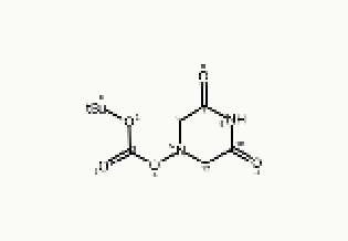 CC(C)(C)OC(=O)ON1CC(=O)NC(=O)C1